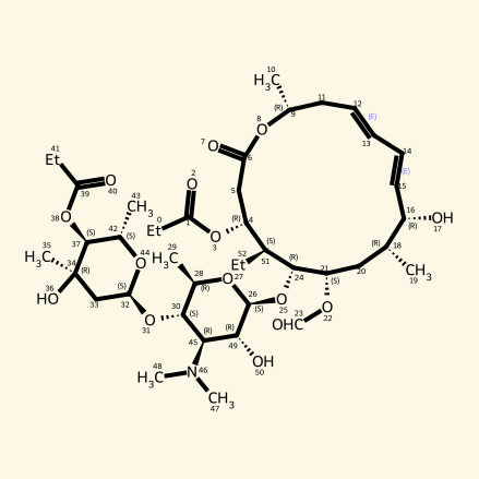 CCC(=O)O[C@@H]1CC(=O)O[C@H](C)C/C=C/C=C/[C@H](O)[C@H](C)C[C@H](OC=O)[C@H](O[C@@H]2O[C@H](C)[C@@H](O[C@H]3C[C@@](C)(O)[C@@H](OC(=O)CC)[C@H](C)O3)[C@H](N(C)C)[C@H]2O)[C@H]1CC